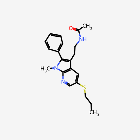 CCCSc1cnc2c(c1)c(CCNC(C)=O)c(-c1ccccc1)n2C